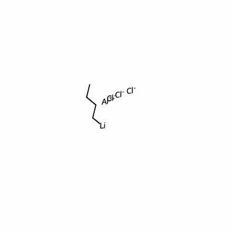 [Al+3].[Cl-].[Cl-].[Cl-].[Li][CH2]CCC